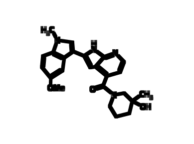 COc1ccc2c(c1)c(-c1cc3c(C(=O)N4CCCC(C)(O)C4)ccnc3[nH]1)cn2C